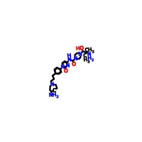 CC(C)(N)C(O)N1CCN(C(=O)Nc2ccn(-c3ccc(CCCN4CCCC(N)CC4)cc3)c(=O)n2)CC1